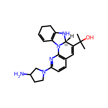 CC(C)(O)C1=Cc2ccc(N3CCC(N)C3)nc2N2C3=C(CCC=C3)N[C@H]12